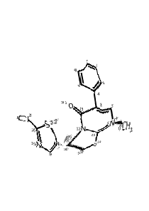 C[n+]1cc(-c2ccccc2)c(=O)n2c1SC[C@@H]2c1cnc(Cl)s1